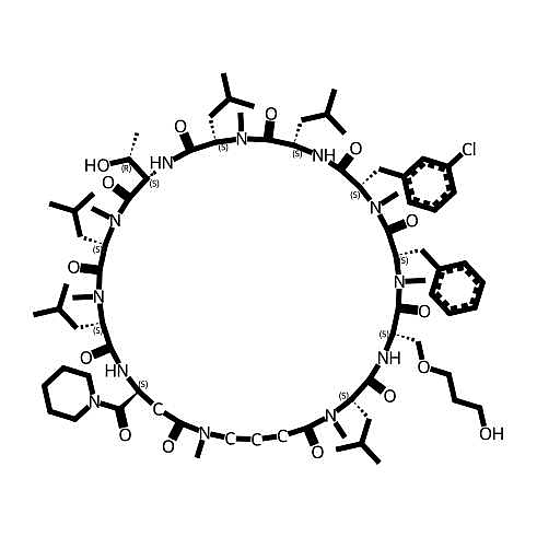 CC(C)C[C@@H]1NC(=O)[C@H](Cc2cccc(Cl)c2)N(C)C(=O)[C@H](Cc2ccccc2)N(C)C(=O)[C@H](COCCCO)NC(=O)[C@H](CC(C)C)N(C)C(=O)CCCN(C)C(=O)C[C@@H](C(=O)N2CCCCC2)NC(=O)[C@H](CC(C)C)N(C)C(=O)[C@H](CC(C)C)N(C)C(=O)[C@H]([C@@H](C)O)NC(=O)[C@H](CC(C)C)N(C)C1=O